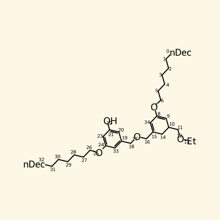 CCCCCCCCCCCCCCCCOC1=CC(COCC)CC(COCc2cc(O)cc(OCCCCCCCCCCCCCCCC)c2)=C1